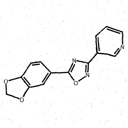 c1cncc(-c2noc(-c3ccc4c(c3)OCO4)n2)c1